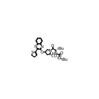 CC(C)(C)OC(=O)N[C@H](C(=O)N1C[C@H](Oc2nc3ccccc3nc2C2=CCCS2)C[C@H]1C(=O)O)C(C)(C)C